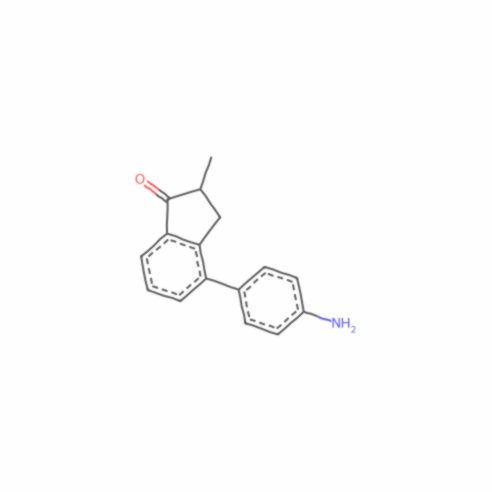 CC1Cc2c(cccc2-c2ccc(N)cc2)C1=O